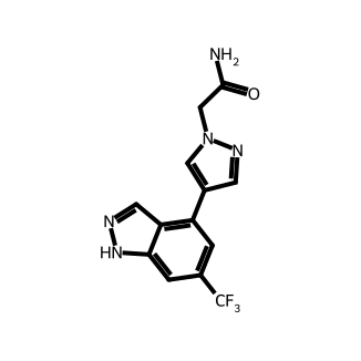 NC(=O)Cn1cc(-c2cc(C(F)(F)F)cc3[nH]ncc23)cn1